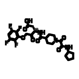 O=C(O)C[C@H](NC(=O)C1CCN(C(=O)C(=O)NC2CCCC2)CC1)C(=O)COc1c(F)c(F)cc(F)c1F